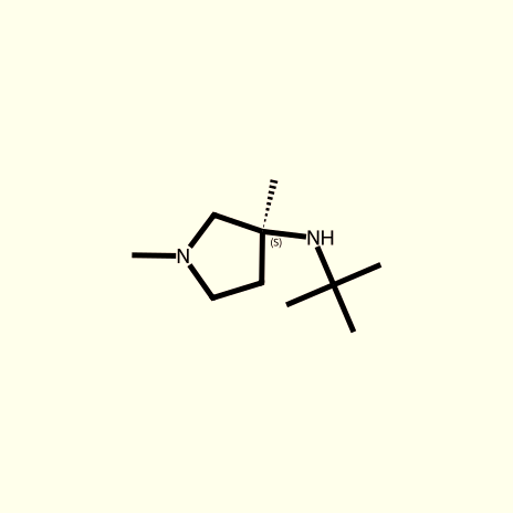 CN1CC[C@](C)(NC(C)(C)C)C1